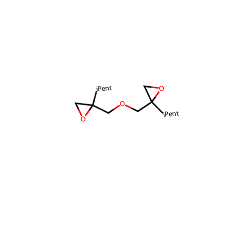 CCCC(C)C1(COCC2(C(C)CCC)CO2)CO1